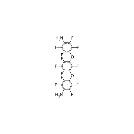 Nc1c(F)c(F)c(Oc2c(F)c(F)c(F)c(Oc3c(F)c(F)c(N)c(F)c3F)c2F)c(F)c1F